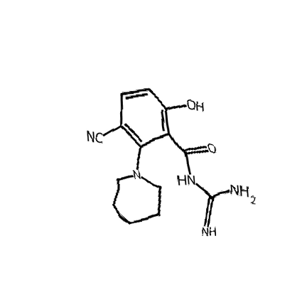 N#Cc1ccc(O)c(C(=O)NC(=N)N)c1N1CCCCC1